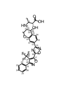 CC(CC(=O)O)N[C@H]1COc2cc(-c3noc(-c4onc(-c5ccccc5)c4C(F)(F)F)n3)ccc2[C@@H]1O